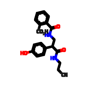 N#CCCNC(=O)C(CNC(=O)c1ccccc1C(=O)O)c1ccc(O)cc1